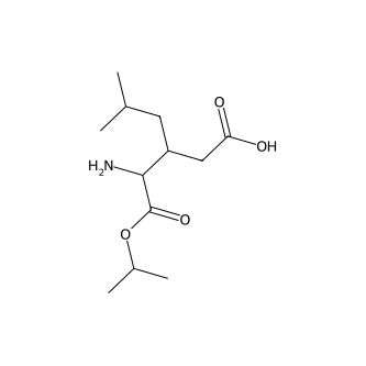 CC(C)CC(CC(=O)O)C(N)C(=O)OC(C)C